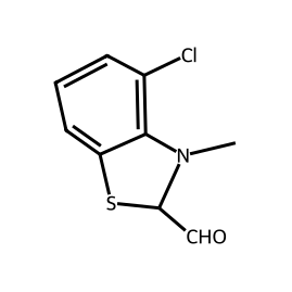 CN1c2c(Cl)cccc2SC1C=O